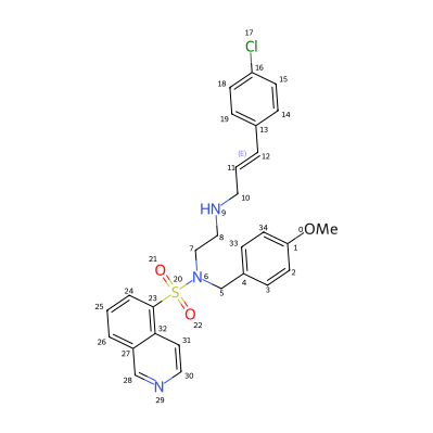 COc1ccc(CN(CCNC/C=C/c2ccc(Cl)cc2)S(=O)(=O)c2cccc3cnccc23)cc1